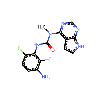 CN(C(=O)Nc1c(F)ccc(N)c1F)c1ncnc2[nH]ccc12